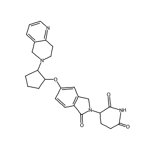 O=C1CCC(N2Cc3cc(OC4CCCC4N4CCc5ncccc5C4)ccc3C2=O)C(=O)N1